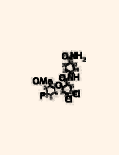 COc1cc(F)ccc1Oc1cc(Cl)c(Cl)cc1C(=O)Nc1ccc(C(N)=O)cc1